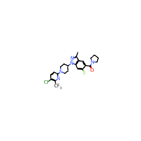 Cc1nn(C2CCN(c3ccc(Cl)c(C(F)(F)F)n3)CC2)c2cc(F)c(C(=O)N3CCCC3)cc12